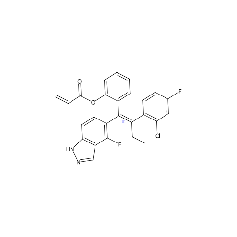 C=CC(=O)Oc1ccccc1/C(=C(/CC)c1ccc(F)cc1Cl)c1ccc2[nH]ncc2c1F